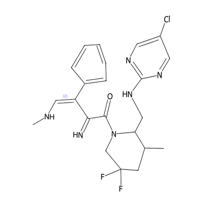 CN/C=C(\C(=N)C(=O)N1CC(F)(F)CC(C)C1CNc1ncc(Cl)cn1)c1ccccc1